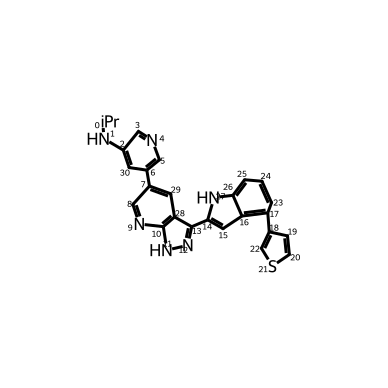 CC(C)Nc1cncc(-c2cnc3[nH]nc(-c4cc5c(-c6ccsc6)cccc5[nH]4)c3c2)c1